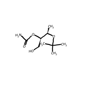 C[C@@H](OC(C)(C)C)[C@@H](CO)OC(N)=O